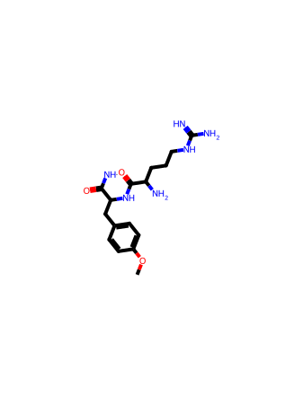 COc1ccc(CC(NC(=O)C(N)CCCNC(=N)N)C([NH])=O)cc1